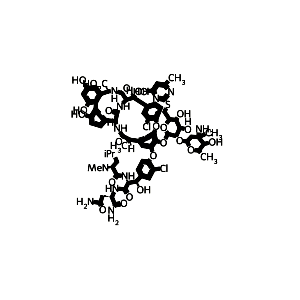 CN[C@@H](CC(C)C)C(=O)N[C@@H](C(=O)N[C@@H](CC(N)=O)C(N)=O)[C@H](O)c1ccc(Oc2cc3cc(c2OC2OC(CSc4nc(C)cc(O)n4)C(O)C(O)C2OC2CC(C)(N)C(O)C(C)O2)Oc2ccc(cc2Cl)[C@@H](O)C2NC(=O)[C@H](NC(=O)[C@@H]3C)c3ccc(O)c(c3)-c3c(O)cc(O)cc3[C@H](C(=O)O)NC2=O)c(Cl)c1